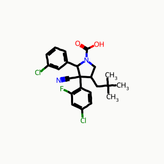 CC(C)(C)CC1CN(C(=O)O)C(c2cccc(Cl)c2)C1(C#N)c1ccc(Cl)cc1F